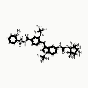 [2H]C([2H])([2H])Oc1cc(C(=O)NS(=O)(=O)c2ccccc2C)ccc1Cc1cn(C([2H])([2H])[2H])c2ccc(NC(=O)OC3C([2H])([2H])C([2H])([2H])C([2H])([2H])C3([2H])[2H])cc12